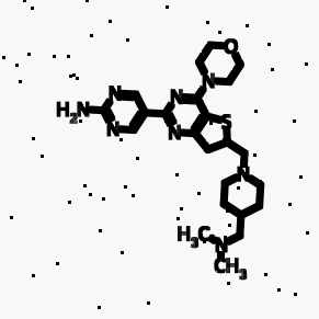 CN(C)CC1CCN(CC2Cc3nc(-c4cnc(N)nc4)nc(N4CCOCC4)c3S2)CC1